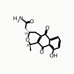 C[C@H]1O[C@H](CC(N)=O)CC2=C1C(=O)c1c(O)cccc1C2=O